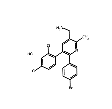 Cc1nc(-c2ccc(Br)cc2)c(-c2ccc(Cl)cc2Cl)cc1CN.Cl